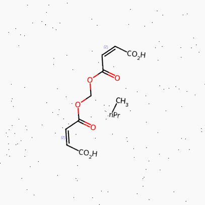 CCCC.O=C(O)/C=C\C(=O)OCOC(=O)/C=C\C(=O)O